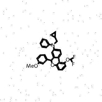 COc1cccc(C2Oc3cccc(OC(F)F)c3-c3ccc(N(CC4CC4)c4ccccc4)cc32)c1